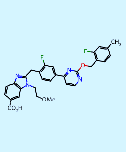 COCCn1c(Cc2ccc(-c3ccnc(OCc4ccc(C)cc4F)n3)cc2F)nc2ccc(C(=O)O)cc21